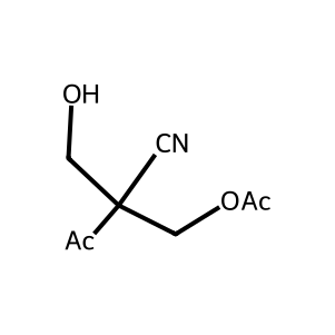 CC(=O)OCC(C#N)(CO)C(C)=O